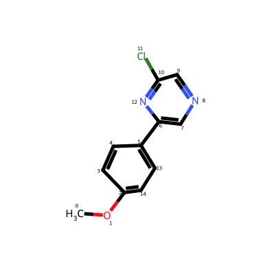 COc1ccc(-c2cncc(Cl)n2)cc1